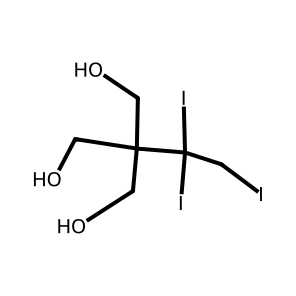 OCC(CO)(CO)C(I)(I)CI